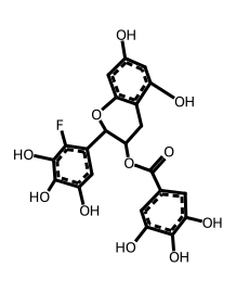 O=C(OC1Cc2c(O)cc(O)cc2OC1c1cc(O)c(O)c(O)c1F)c1cc(O)c(O)c(O)c1